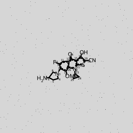 COc1c(N2CCC(N)C2)c(F)cc2c(=O)c3c(O)c(C#N)sc3n(C3CC3)c12